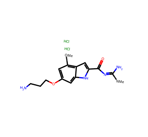 CNC(N)=NC(=O)c1cc2c(OC)cc(OCCCN)cc2[nH]1.Cl.Cl